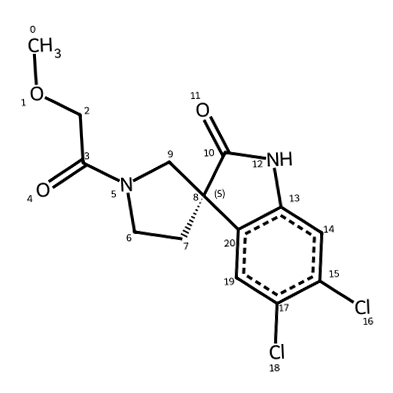 COCC(=O)N1CC[C@]2(C1)C(=O)Nc1cc(Cl)c(Cl)cc12